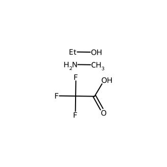 CCO.CN.O=C(O)C(F)(F)F